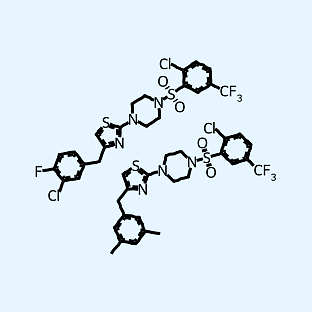 Cc1cc(C)cc(Cc2csc(N3CCN(S(=O)(=O)c4cc(C(F)(F)F)ccc4Cl)CC3)n2)c1.O=S(=O)(c1cc(C(F)(F)F)ccc1Cl)N1CCN(c2nc(Cc3ccc(F)c(Cl)c3)cs2)CC1